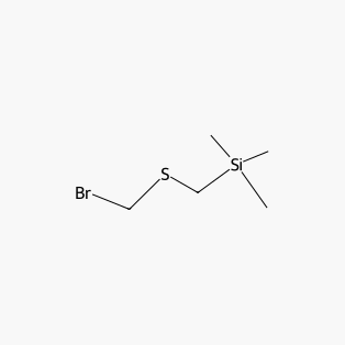 C[Si](C)(C)CSCBr